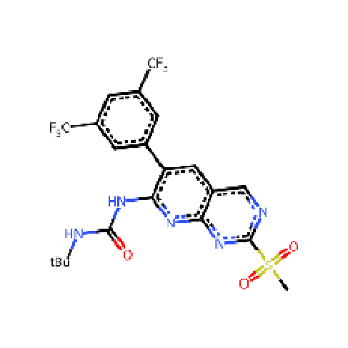 CC(C)(C)NC(=O)Nc1nc2nc(S(C)(=O)=O)ncc2cc1-c1cc(C(F)(F)F)cc(C(F)(F)F)c1